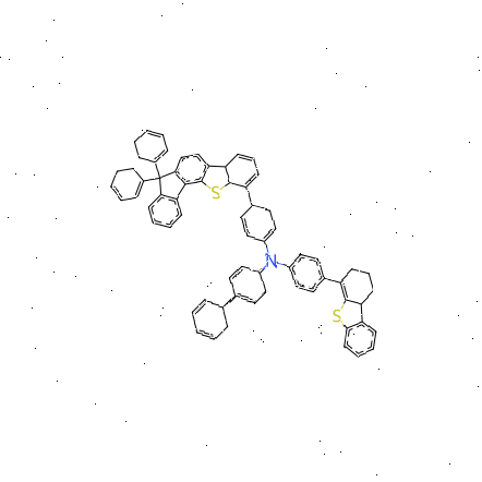 C1=CCCC(C2(C3=CC=CCC3)c3ccccc3-c3c2ccc2c3SC3C(C4C=CC(N(c5ccc(C6=C7Sc8ccccc8C7CCC6)cc5)C5C=CC(C6C=CC=CC6)=CC5)=CC4)=CC=CC23)=C1